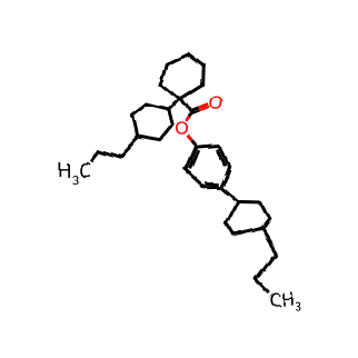 CCCC1CCC(c2ccc(OC(=O)C3(C4CCC(CCC)CC4)CCCCC3)cc2)CC1